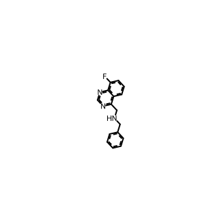 Fc1cccc2c(CNCc3ccccc3)ncnc12